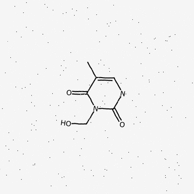 CC1=C[N]C(=O)N(CO)C1=O